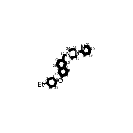 CC[C@H]1CC[C@@H](Oc2ccc3cc(CN4CCN(c5ccccn5)CC4)ccc3c2)CC1